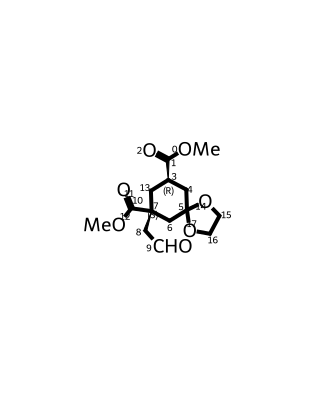 COC(=O)[C@H]1CC2(C[C@](CC=O)(C(=O)OC)C1)OCCO2